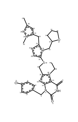 C=C1NC(=O)N(Cc2ccc(Cl)cc2)c2nc(CSc3nnc(Cc4cc(C)nn4C)n3CC3CCCO3)n(CC)c21